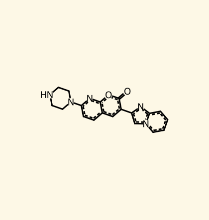 O=c1oc2nc(N3CCNCC3)ccc2cc1-c1cn2ccccc2n1